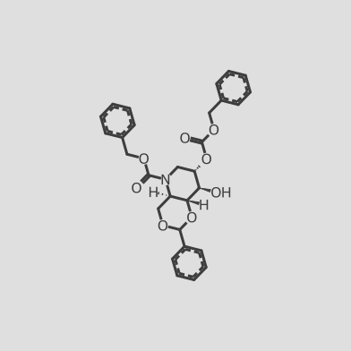 O=C(OCc1ccccc1)O[C@H]1CN(C(=O)OCc2ccccc2)[C@@H]2COC(c3ccccc3)O[C@H]2[C@@H]1O